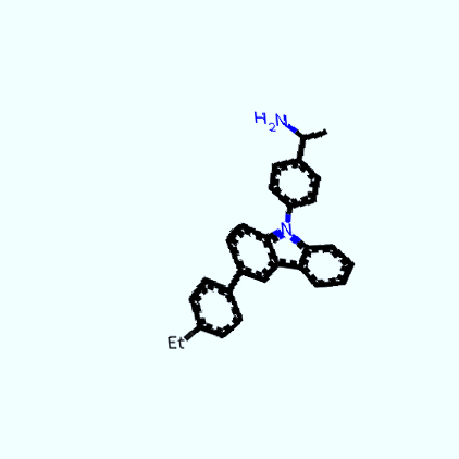 CCc1ccc(-c2ccc3c(c2)c2ccccc2n3-c2ccc(C(C)N)cc2)cc1